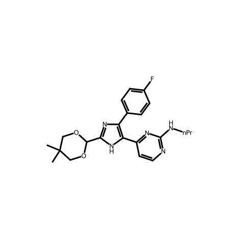 CCCNc1nccc(-c2[nH]c(C3OCC(C)(C)CO3)nc2-c2ccc(F)cc2)n1